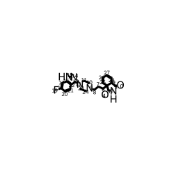 O=C1NC(=O)C2(CCCN3CCN(c4n[nH]c5cc(F)ccc45)CC3)C=CC=CC12